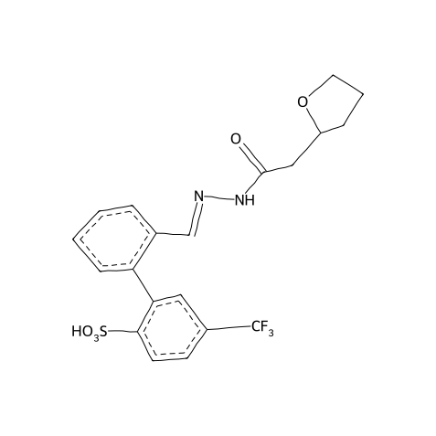 O=C(CC1CCCO1)NN=Cc1ccccc1-c1cc(C(F)(F)F)ccc1S(=O)(=O)O